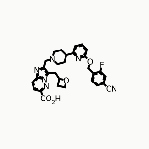 N#Cc1ccc(COc2cccc(C3CCN(Cc4nc5ccc(C(=O)O)nn5c4CC4CCO4)CC3)n2)c(F)c1